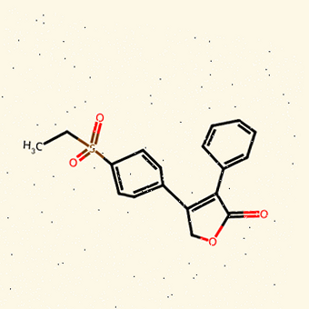 CCS(=O)(=O)c1ccc(C2=C(c3ccccc3)C(=O)OC2)cc1